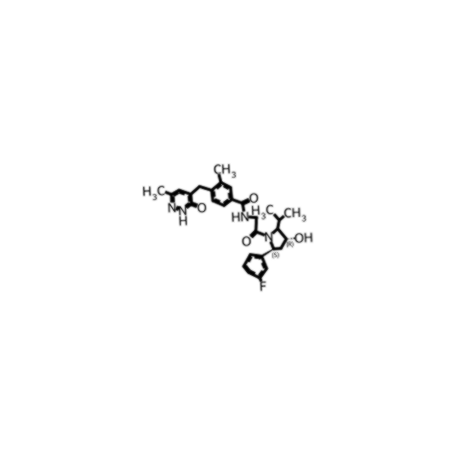 Cc1cc(Cc2ccc(C(=O)NCC(=O)N3C(C(C)C)[C@H](O)C[C@H]3c3cccc(F)c3)cc2C)c(=O)[nH]n1